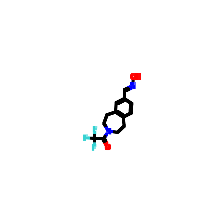 O=C(N1CCc2ccc(/C=N/O)cc2CC1)C(F)(F)F